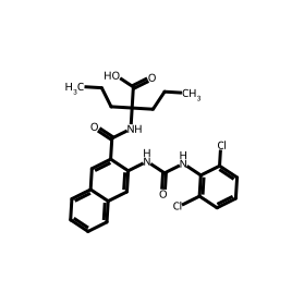 CCCC(CCC)(NC(=O)c1cc2ccccc2cc1NC(=O)Nc1c(Cl)cccc1Cl)C(=O)O